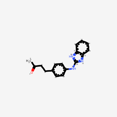 CC(=O)CCc1ccc(Nc2nc3ccccc3[nH]2)cc1